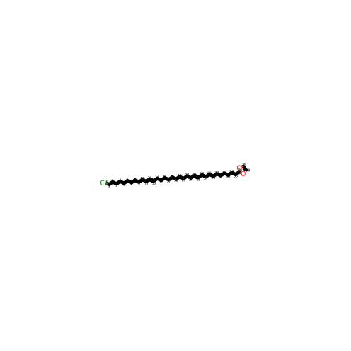 ClCCCCCCCCCCCC=CCCCCCCCCCCC=CCCCCCCCCCCC1OCCO1